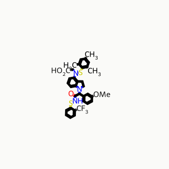 COc1cccc(C(C(=O)NSc2ccccc2C(F)(F)F)N2CCc3c(N(CC(=O)O)Sc4c(C)cc(C)cc4C)cccc32)c1